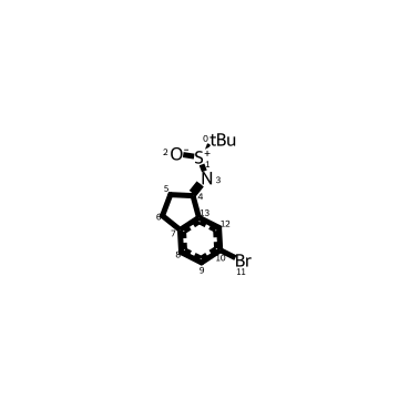 CC(C)(C)[S@@+]([O-])/N=C1\CCc2ccc(Br)cc21